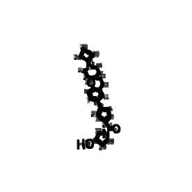 O=C(c1ccc(-c2ccc3c(c2)CCC2(CCN(C4CCC4)CC2)O3)cc1)N1CC[C@H](O)C1